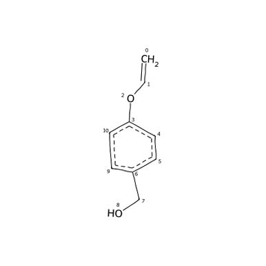 C=COc1ccc(CO)cc1